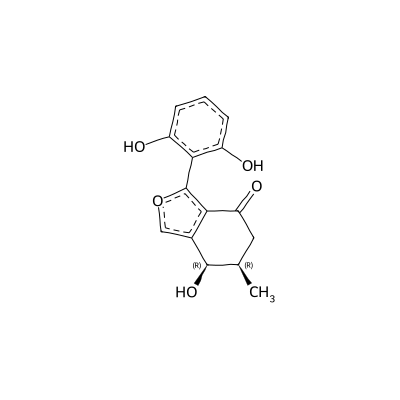 C[C@@H]1CC(=O)c2c(coc2-c2c(O)cccc2O)[C@@H]1O